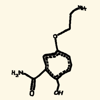 [NH]CCOc1ccc(O)c(C(N)=O)c1